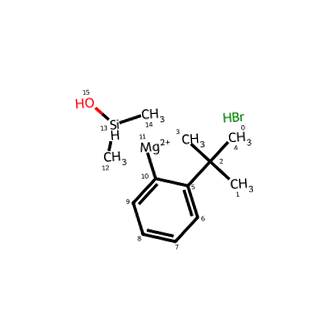 Br.CC(C)(C)c1cccc[c]1[Mg+2].C[SiH](C)O